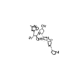 Cc1cc([C@@H](C(=O)N2C[C@H](O)C[C@@H]2C2=NC(=O)[C@@](C)(c3ccc(-c4cccnc4)cc3)N2)C(C)C)on1